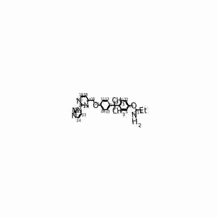 CCC(N)Oc1ccc(C(C)(C)c2ccc(OCc3ccnc(-n4ccnn4)n3)cc2)cc1